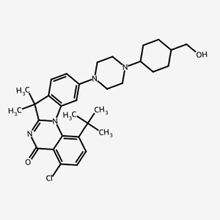 CC(C)(C)c1ccc(Cl)c2c(=O)nc3n(c12)-c1cc(N2CCN(C4CCC(CO)CC4)CC2)ccc1C3(C)C